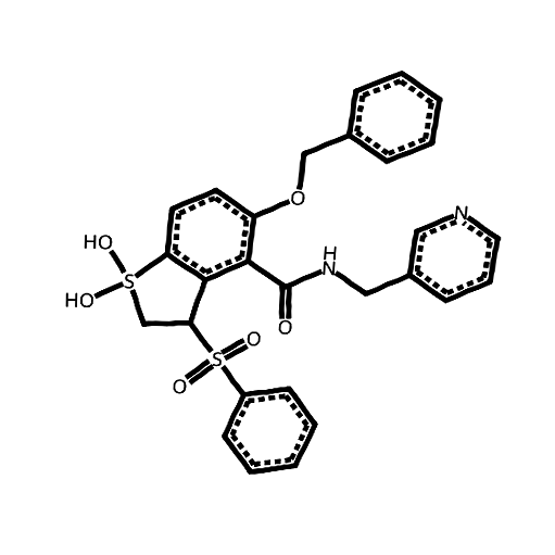 O=C(NCc1cccnc1)c1c(OCc2ccccc2)ccc2c1C(S(=O)(=O)c1ccccc1)CS2(O)O